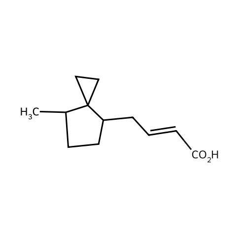 CC1CCC(CC=CC(=O)O)C12CC2